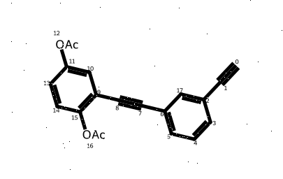 C#Cc1cccc(C#Cc2cc(OC(C)=O)ccc2OC(C)=O)c1